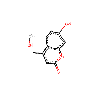 CC(C)(C)O.Cc1cc(=O)oc2cc(O)ccc12